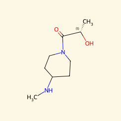 CNC1CCN(C(=O)[C@H](C)O)CC1